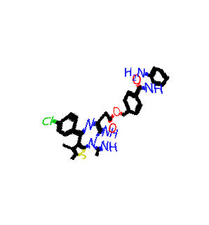 CC(=N)N1C(=N)C(CC(=O)OCc2ccc(C(=O)Nc3ccccc3N)cc2)N=C(c2ccc(Cl)cc2)c2c1sc(C)c2C